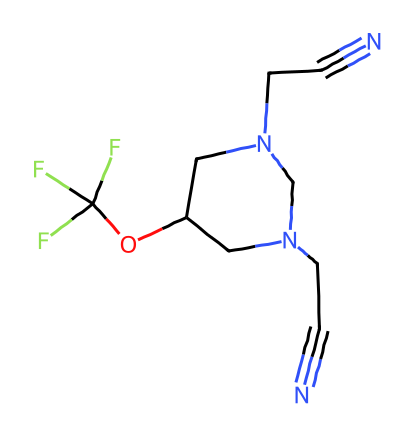 N#CCN1CC(OC(F)(F)F)CN(CC#N)C1